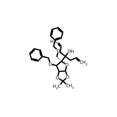 C=CCC(O)(CC=C)[C@@]1(COCc2ccccc2)OC2OC(C)(C)OC2C1OCc1ccccc1